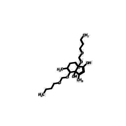 CCCCOCOC1C(C)CC[C@]2(OCOCCCC)C(O)=C=C(C)C12O